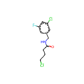 O=C(CCCCl)NCc1cc(F)cc(Cl)c1